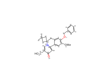 COc1cc2c(cc1OCc1ccccc1)CC1(CC(C)(C)C1)n1cc(C(=O)O)c(=O)cc1-2